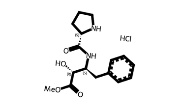 COC(=O)[C@H](O)[C@H](Cc1ccccc1)NC(=O)[C@@H]1CCCN1.Cl